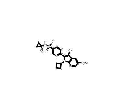 COc1cnc2c(c1)c(C#N)c(-c1ccc(S(=O)(=O)NC3(C(F)(F)F)CC3)cn1)n2C1CCC1